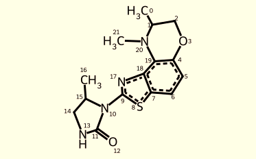 CC1COc2ccc3sc(N4C(=O)NCC4C)nc3c2N1C